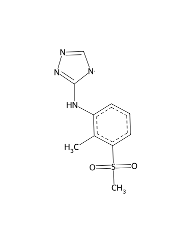 Cc1c(NC2=NN=C[N]2)cccc1S(C)(=O)=O